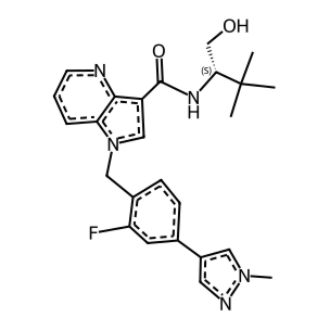 Cn1cc(-c2ccc(Cn3cc(C(=O)N[C@H](CO)C(C)(C)C)c4ncccc43)c(F)c2)cn1